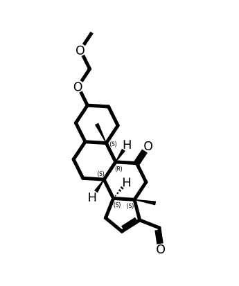 COCOC1CC[C@@]2(C)C(CC[C@@H]3[C@H]2C(=O)C[C@]2(C)C(C=O)=CC[C@@H]32)C1